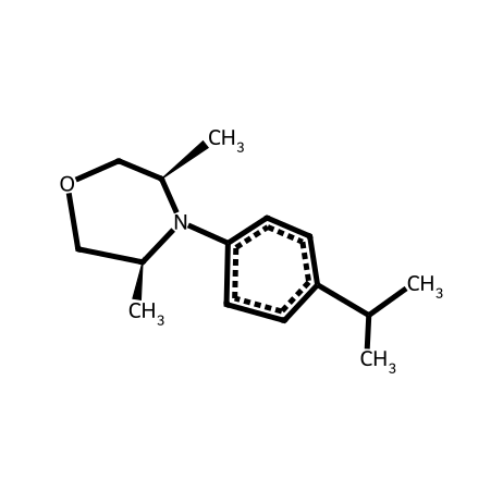 CC(C)c1ccc(N2[C@H](C)COC[C@@H]2C)cc1